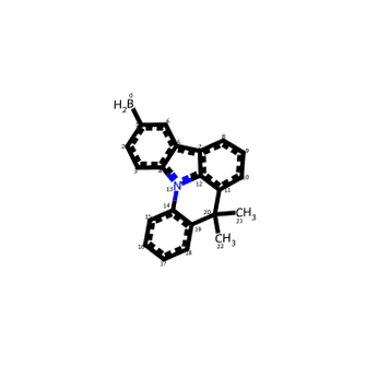 Bc1ccc2c(c1)c1cccc3c1n2-c1ccccc1C3(C)C